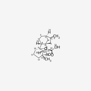 C=C1C[C@]23C[C@H]1CC[C@H]2[C@@]12CCC[C@@](C)(C(=O)O1)[C@H]2[C@@H]3C(=O)O